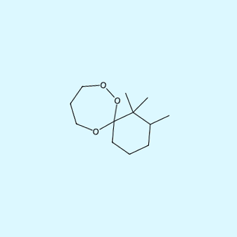 CC1CCCC2(OCCCOO2)C1(C)C